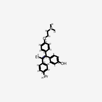 CC/C(=C(/c1ccc(O)cc1)c1ccc(OCCN(C)C)cc1)c1ccc(C(C)C)cc1